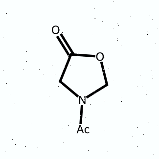 CC(=O)N1COC(=O)C1